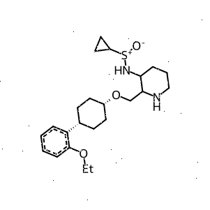 CCOc1ccccc1[C@H]1CC[C@@H](OCC2NCCCC2N[S+]([O-])C2CC2)CC1